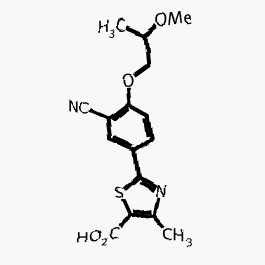 COC(C)COc1ccc(-c2nc(C)c(C(=O)O)s2)cc1C#N